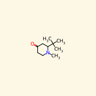 CN1CCC(=O)CC1C(C)(C)C